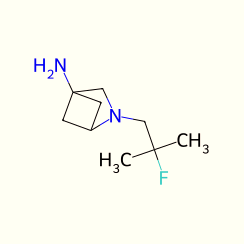 CC(C)(F)CN1CC2(N)CC1C2